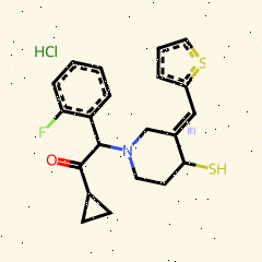 Cl.O=C(C1CC1)C(c1ccccc1F)N1CCC(S)/C(=C/c2cccs2)C1